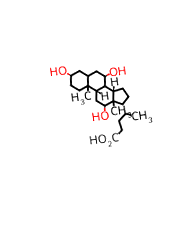 CC(CCC(=O)O)[C@H]1CC[C@H]2C3[C@H](O)CC4C[C@H](O)CCC4(C)[C@H]3C[C@H](O)C12C